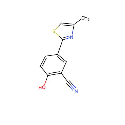 Cc1csc(-c2ccc(O)c(C#N)c2)n1